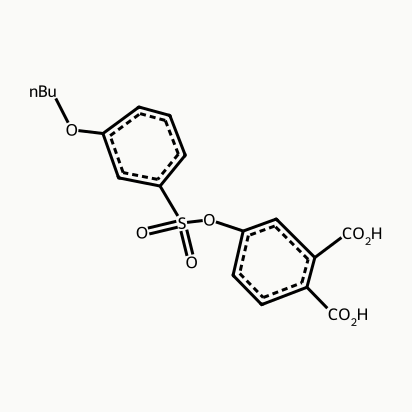 CCCCOc1cccc(S(=O)(=O)Oc2ccc(C(=O)O)c(C(=O)O)c2)c1